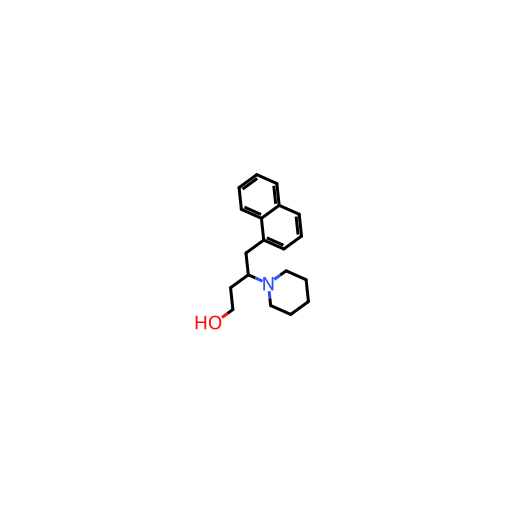 OCCC(Cc1cccc2ccccc12)N1CCCCC1